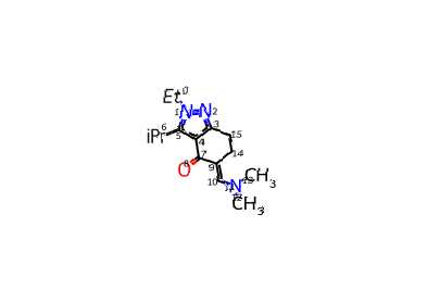 CCn1nc2c(c1C(C)C)C(=O)/C(=C/N(C)C)CC2